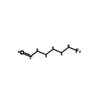 O=[C]CCCCCF